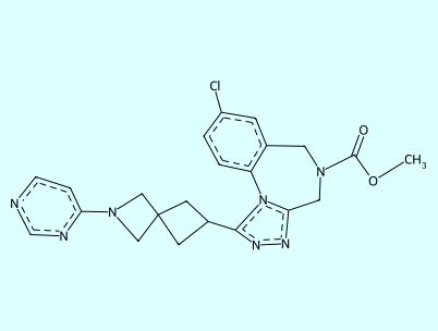 COC(=O)N1Cc2cc(Cl)ccc2-n2c(nnc2C2CC3(C2)CN(c2ccncn2)C3)C1